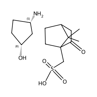 CC1(C)C2CCC1(CS(=O)(=O)O)C(=O)C2.N[C@H]1CC[C@@H](O)C1